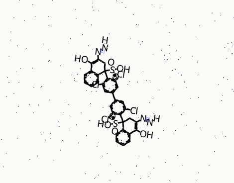 [H]/N=N/C1=C(O)c2ccccc2C(c2c(Cl)cc(-c3cc(Cl)c(C4(S(=O)(=O)O)CC(/N=N/[H])=C(O)c5ccccc54)c(Cl)c3)cc2Cl)(S(=O)(=O)O)C1